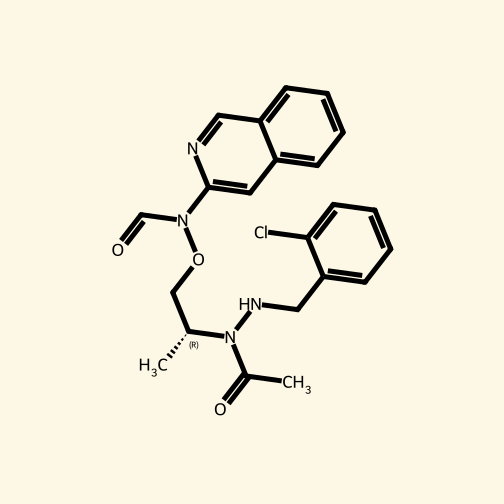 CC(=O)N(NCc1ccccc1Cl)[C@H](C)CON(C=O)c1cc2ccccc2cn1